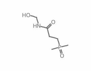 CP(C)(=O)CCC(=O)NCO